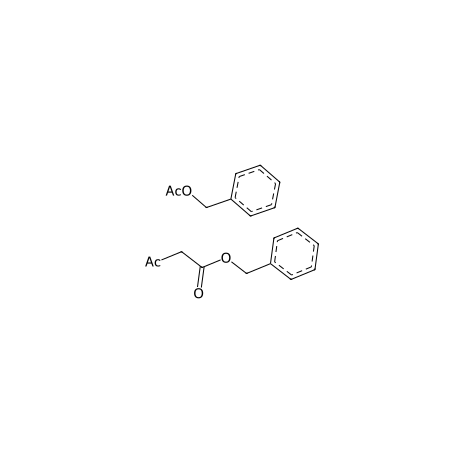 CC(=O)CC(=O)OCc1ccccc1.CC(=O)OCc1ccccc1